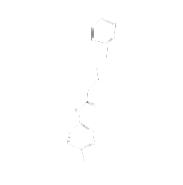 S=C(NCCOc1ccccc1)Nc1ccc(Cl)cn1